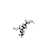 COC(=O)c1cnc(-c2nc(C(F)(F)F)cn2C(C)C)cn1